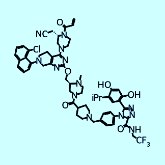 C=CC(=O)N1CCN(c2nc(OC[C@@H]3CN(C(=O)C4CCN(Cc5ccc(-n6c(C(=O)NCC(F)(F)F)nnc6-c6cc(C(C)C)c(O)cc6O)cc5)CC4)CCN3C)nc3c2CCN(c2cccc4cccc(Cl)c24)C3)C[C@@H]1CC#N